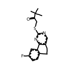 CC(C)(C)C(=O)CSc1ncc2c(n1)-c1cc(F)ccc1CC2